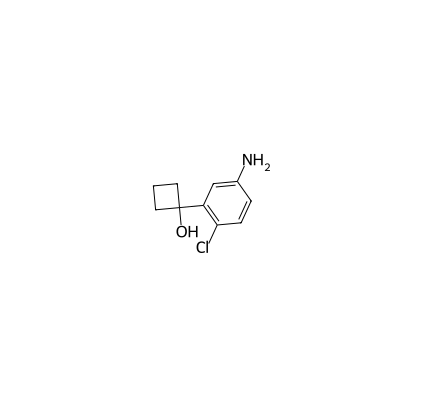 Nc1ccc(Cl)c(C2(O)CCC2)c1